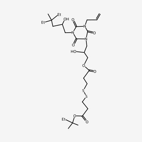 C=CCn1c(=O)n(CC(O)COC(=O)CCSSCCC(=O)OC(C)(C)CC)c(=O)n(CC(O)CC(C)(CC)CC)c1=O